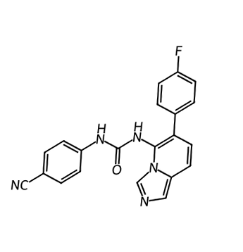 N#Cc1ccc(NC(=O)Nc2c(-c3ccc(F)cc3)ccc3cncn23)cc1